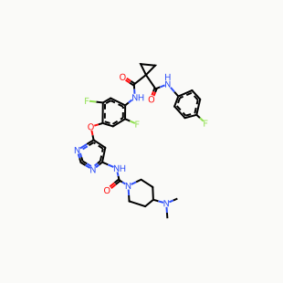 CN(C)C1CCN(C(=O)Nc2cc(Oc3cc(F)c(NC(=O)C4(C(=O)Nc5ccc(F)cc5)CC4)cc3F)ncn2)CC1